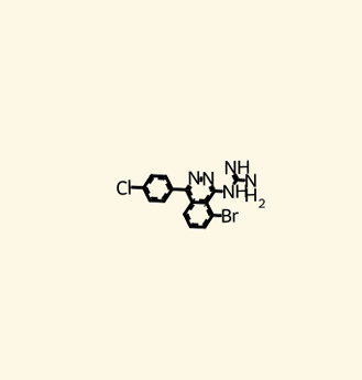 N=C(N)Nc1nnc(-c2ccc(Cl)cc2)c2cccc(Br)c12